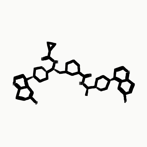 C[C@@H](NC(=O)C1CCCC(C[C@@H](NC(=O)C2CC2)[C@H]2CC[C@@H](c3ccnc4ccc(F)cc43)CC2)C1)[C@H]1CC[C@@H](c2ccnc3ccc(F)cc32)CC1